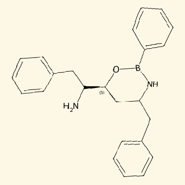 NC(Cc1ccccc1)[C@@H]1CC(Cc2ccccc2)NB(c2ccccc2)O1